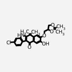 CC1(C)OCC(COc2cc3c(cc2O)C(=O)c2c([nH]c4cc(Cl)ccc24)C3(C)C)O1